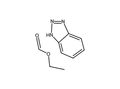 CCOC=O.c1ccc2[nH]nnc2c1